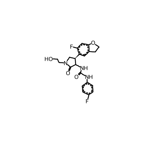 O=C(Nc1ccc(F)cc1)NC1C(=O)N(CCO)C[C@H]1c1cc2c(cc1F)OCC2